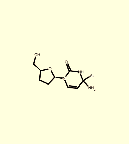 CC(=O)C1(N)C=CN([C@H]2CC[C@@H](CO)O2)C(=O)N1